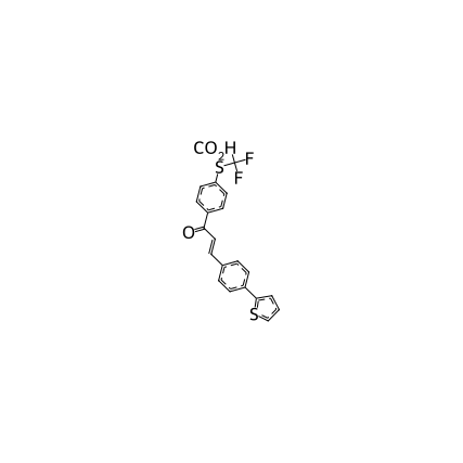 O=C(C=Cc1ccc(-c2cccs2)cc1)c1ccc(SC(F)(F)C(=O)O)cc1